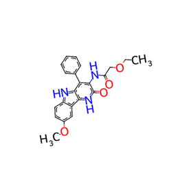 CCOCC(=O)Nc1c(-c2ccccc2)c2[nH]c3ccc(OC)cc3c2[nH]c1=O